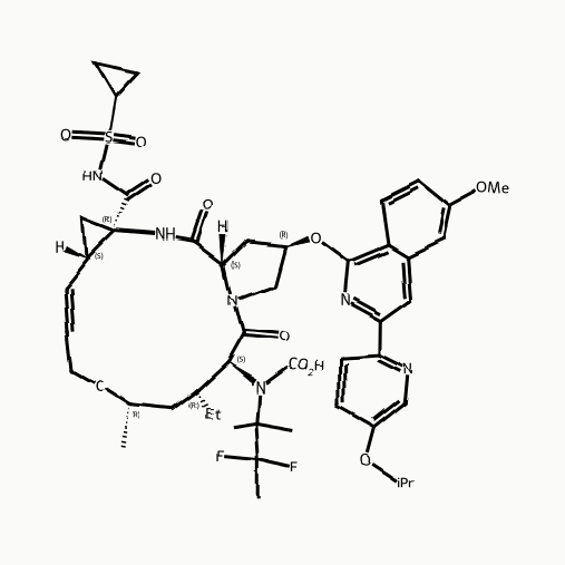 CC[C@@H]1C[C@H](C)CCC=C[C@@H]2C[C@@]2(C(=O)NS(=O)(=O)C2CC2)NC(=O)[C@@H]2C[C@@H](Oc3nc(-c4ccc(OC(C)C)cn4)cc4cc(OC)ccc34)CN2C(=O)[C@H]1N(C(=O)O)C(C)(C)C(C)(F)F